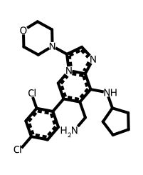 NCc1c(-c2ccc(Cl)cc2Cl)cn2c(N3CCOCC3)cnc2c1NC1CCCC1